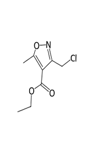 CCOC(=O)c1c(CCl)noc1C